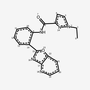 CCn1ccc(C(=O)Nc2ccccc2-c2nc3ncccc3o2)n1